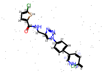 C=C(Cl)/C=C\C(=C/N)c1ccc(-n2cc(CNC(=O)c3ccc(Cl)s3)nn2)cc1